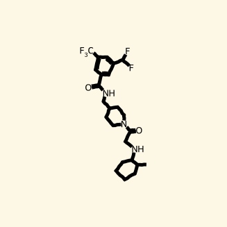 CC1CCCCC1NCC(=O)N1CCC(CNC(=O)c2cc(C(F)F)cc(C(F)(F)F)c2)CC1